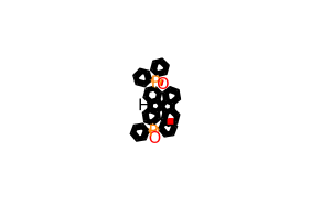 O=P(c1ccccc1)(c1ccccc1)c1ccc2c(c1)C1(c3ccccc3-c3ccccc31)C1CC(P(=O)(c3ccccc3)c3ccccc3)CC[C@H]21